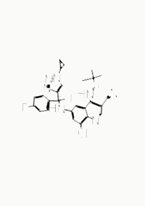 [2H]C(Nc1cc(Cl)c2ncc(C#N)c(NOC(C)(C)C)c2c1)(c1ccc(F)cc1)c1cn(C2CC2)nn1